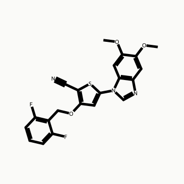 COc1cc2ncn(-c3cc(OCc4c(F)cccc4F)c(C#N)s3)c2cc1OC